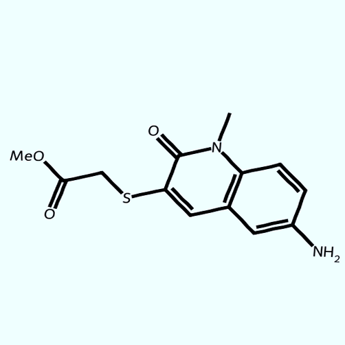 COC(=O)CSc1cc2cc(N)ccc2n(C)c1=O